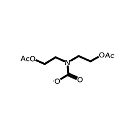 CC(=O)OCCN(CCOC(C)=O)C([O])=O